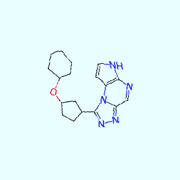 c1cc2c(ncc3nnc(C4CCC(OC5CCCCC5)C4)n32)[nH]1